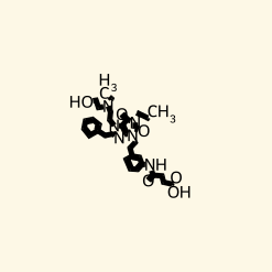 CCCn1c(=O)c2c(nc(Cc3ccccc3)n2CCN(CC)CCO)n(CCc2cccc(NC(=O)CCC(=O)O)c2)c1=O